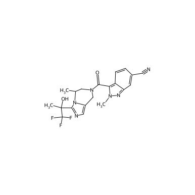 CC1CN(C(=O)c2c3ccc(C#N)cc3nn2C)Cc2cnc(C(C)(O)C(F)(F)F)n21